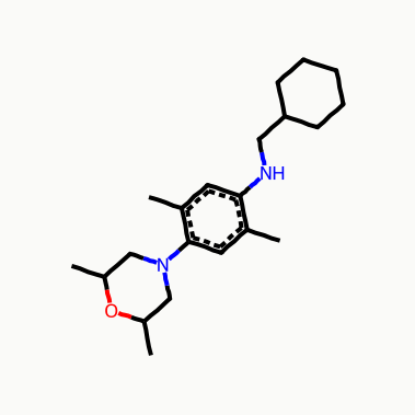 Cc1cc(N2CC(C)OC(C)C2)c(C)cc1NCC1CCCCC1